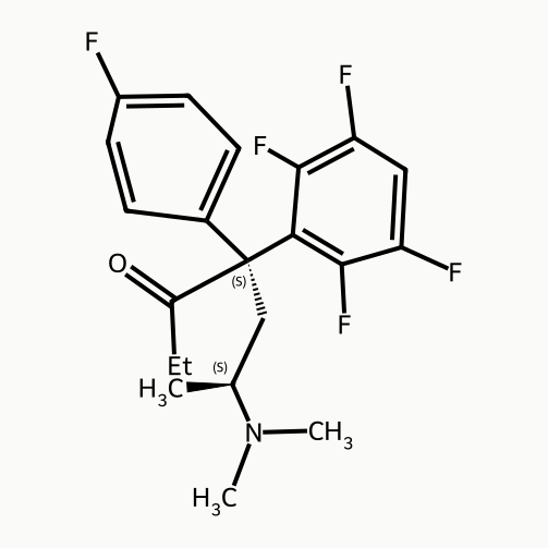 CCC(=O)[C@@](C[C@H](C)N(C)C)(c1ccc(F)cc1)c1c(F)c(F)cc(F)c1F